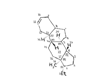 CC[C@H]1CC[C@H]2[C@@H]3CCC4CC=CC[C@@H]4[C@H]3CC[C@]12C